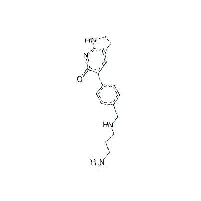 NCCCNCc1ccc(-c2cn3c(nc2=O)NCC3)cc1